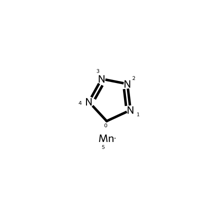 C1N=NN=N1.[Mn]